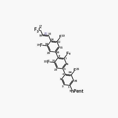 CCCCCc1ccc(-c2cc(F)c(-c3cc(F)c(/C=C/C(F)(F)F)c(F)c3)c(F)c2)c(F)c1